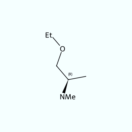 CCOC[C@@H](C)NC